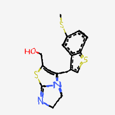 CSc1ccc2scc(C3=C(CO)SC4=NCCN43)c2c1